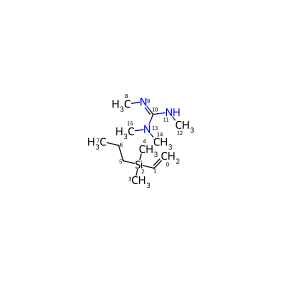 C=C[Si](C)(C)CCC.CN=C(NC)N(C)C